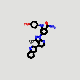 NC(=O)c1ccc(-n2nc(C(F)(F)F)c3c(-c4cnc5ccccc5c4)ccnc32)cc1N[C@H]1CC[C@H](O)CC1